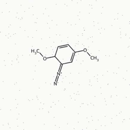 COC1=CC(=[N+]=[N-])C(OC)C=C1